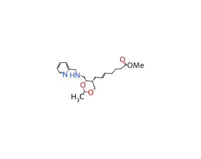 COC(=O)CCCC=CC[C@H]1CO[C@@H](C)O[C@H]1CNCc1ccccn1